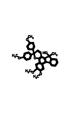 COc1ccc(C2(c3ccc(OC)cc3)C=Cc3c4c(c5cc(OC)c(OC)cc5c3O2)-c2ccccc2C4(C)O)cc1